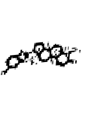 CN1C(=O)C=C[C@]2(C)[C@H]3CC[C@]4(C)[C@@H](c5nc6ccc(Cl)cc6[nH]5)CC[C@H]4[C@@H]3CC[C@@H]12